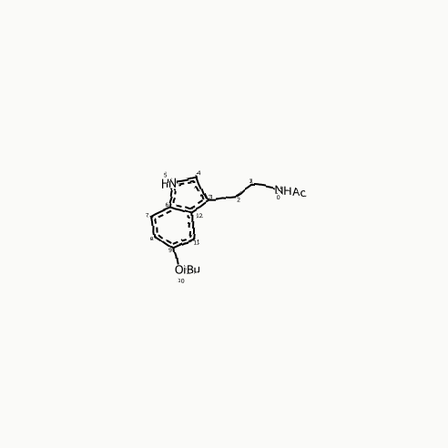 CC(=O)NCCc1c[nH]c2ccc(OCC(C)C)cc12